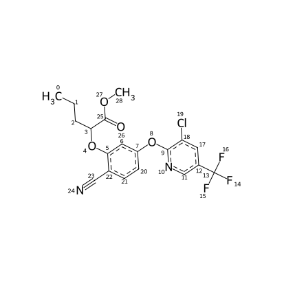 CCCC(Oc1cc(Oc2ncc(C(F)(F)F)cc2Cl)ccc1C#N)C(=O)OC